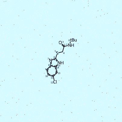 CC(C)(C)NC(=O)CSc1nc2ccc(Cl)cc2[nH]1